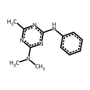 Cc1nc(Nc2ccccc2)nc(N(C)C)n1